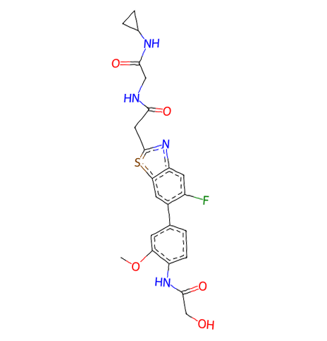 COc1cc(-c2cc3sc(CC(=O)NCC(=O)NC4CC4)nc3cc2F)ccc1NC(=O)CO